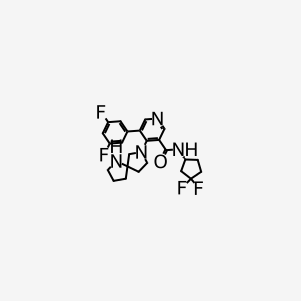 O=C(N[C@H]1CCC(F)(F)C1)c1cncc(-c2cc(F)cc(F)c2)c1N1CCC2(CCCN2)C1